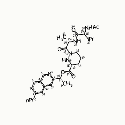 CCCc1ccc2cnc([C@@H](C)OC(=O)[C@@H]3CCCN(C(=O)[C@H](C)NC(=O)[C@@H](NC(C)=O)C(C)C)N3)cc2c1